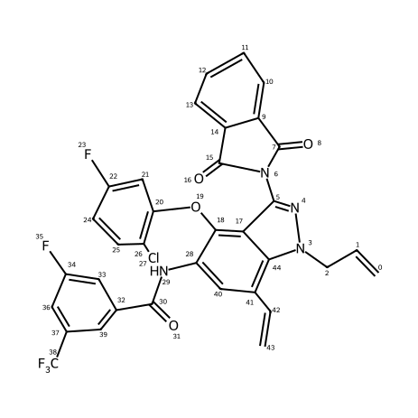 C=CCn1nc(N2C(=O)c3ccccc3C2=O)c2c(Oc3cc(F)ccc3Cl)c(NC(=O)c3cc(F)cc(C(F)(F)F)c3)cc(C=C)c21